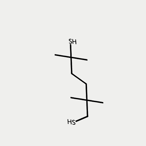 CC(C)(S)CCC(C)(C)CS